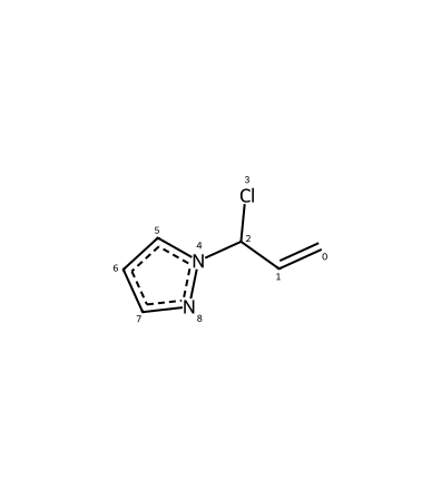 C=CC(Cl)n1cccn1